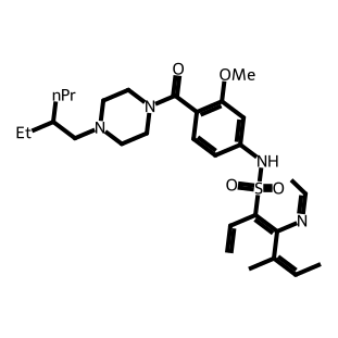 C=C/C(=C(/N=C\C)C(\C)=C/C)S(=O)(=O)Nc1ccc(C(=O)N2CCN(CC(CC)CCC)CC2)c(OC)c1